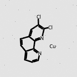 Clc1cc2ccc3cccnc3c2nc1Cl.[Cu]